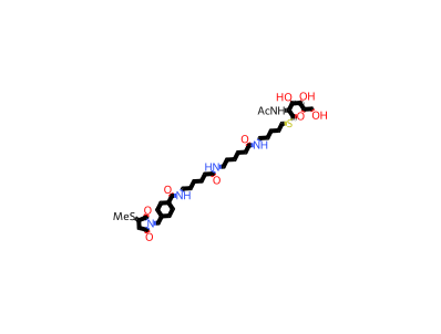 CSC1CC(=O)N(CC2CCC(C(=O)NCCCCCC(=O)NCCCCCC(=O)NCCCCCS[C@@H]3OC(CO)[C@H](O)[C@@H](O)C3NC(C)=O)CC2)C1=O